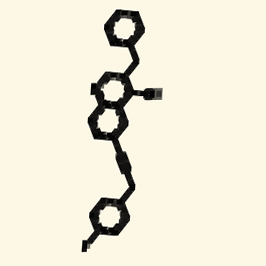 Oc1c(Cc2ccccc2)cnc2ccc(C#CCc3ccc(F)cc3)cc12